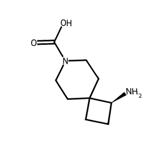 N[C@H]1CCC12CCN(C(=O)O)CC2